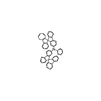 C1=CCC2=C(C=C1)C1(c3ccccc32)c2ccccc2-c2ccc(N(c3ccccc3)c3ccc4c(c3)C3(c5ccccc5-c5ccccc53)c3ccccc3-4)cc21